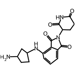 NC1CCC(Nc2cccc3c2C(=O)N(C2CCC(=O)NC2=O)C3=O)C1